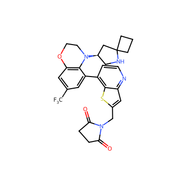 O=C1CCC(=O)N1Cc1cc2nccc(-c3cc(C(F)(F)F)cc4c3N([C@@H]3CNC5(CCC5)C3)CCO4)c2s1